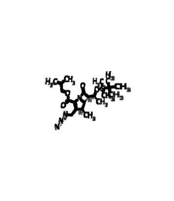 CC(C)COC(=O)C1=C(CN=[N+]=[N-])[C@H](C)C2[C@@H]([C@@H](C)O[Si](C)(C)C(C)(C)C)C(=O)N12